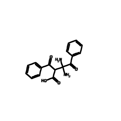 NC(N)(C(=O)c1ccccc1)C(C(=O)O)C(=O)c1ccccc1